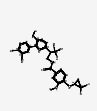 COc1cc(C(=O)NCC(c2ccc(OC)c(-c3ccc(F)c(Cl)c3)n2)C(F)(F)F)ccc1OC1CC1(F)F